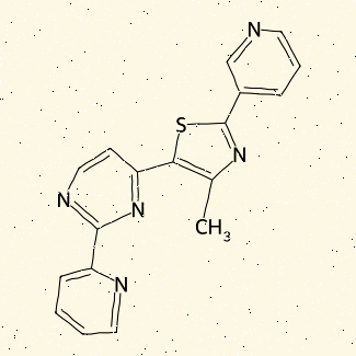 Cc1nc(-c2cccnc2)sc1-c1ccnc(-c2ccccn2)n1